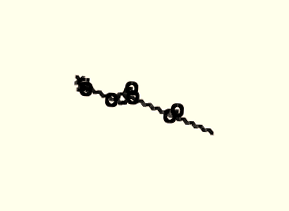 CCCCCCCCCC(=O)OCCCCCCCCOc1ccc(OCCCCCO[Si](C)(C)C(C)(C)C)cc1C=O